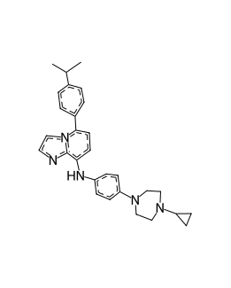 CC(C)c1ccc(-c2ccc(Nc3ccc(N4CCN(C5CC5)CC4)cc3)c3nccn23)cc1